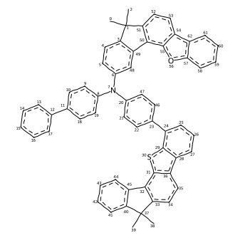 CC1(C)c2ccc(N(c3ccc(-c4ccccc4)cc3)c3ccc(-c4cccc5c4sc4c6c(ccc45)C(C)(C)c4ccccc4-6)cc3)cc2-c2c1ccc1c2oc2ccccc21